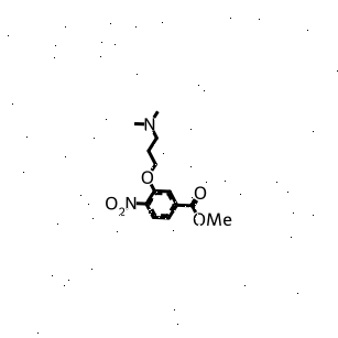 COC(=O)c1ccc([N+](=O)[O-])c(OCCCN(C)C)c1